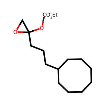 CCOC(=O)OC1(CCCC2CCCCCCC2)CO1